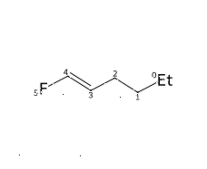 [CH2]CCCC=CF